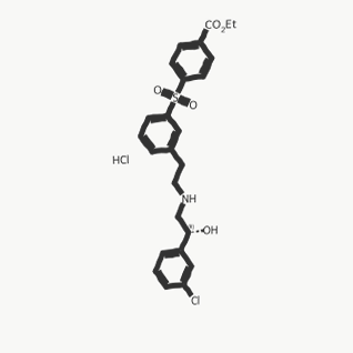 CCOC(=O)c1ccc(S(=O)(=O)c2cccc(CCNC[C@H](O)c3cccc(Cl)c3)c2)cc1.Cl